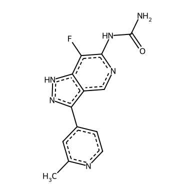 Cc1cc(-c2n[nH]c3c(F)c(NC(N)=O)ncc23)ccn1